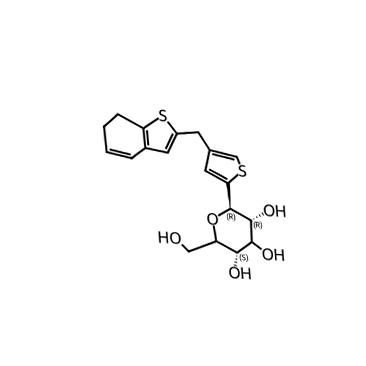 OCC1O[C@@H](c2cc(Cc3cc4c(s3)CCC=C4)cs2)[C@H](O)C(O)[C@@H]1O